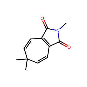 CN1C(=O)C2=C(C=CC(C)(C)C=C2)C1=O